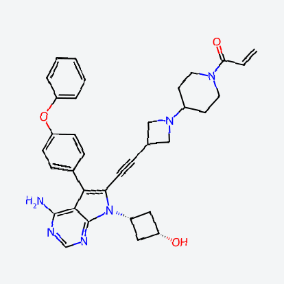 C=CC(=O)N1CCC(N2CC(C#Cc3c(-c4ccc(Oc5ccccc5)cc4)c4c(N)ncnc4n3[C@H]3C[C@@H](O)C3)C2)CC1